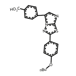 CCCCOc1ccc(-c2nn3c(-c4ccc(C(=O)O)cc4)cnc3s2)cc1